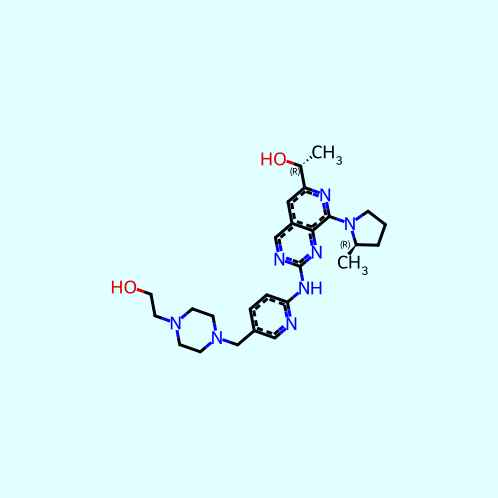 C[C@@H]1CCCN1c1nc([C@@H](C)O)cc2cnc(Nc3ccc(CN4CCN(CCO)CC4)cn3)nc12